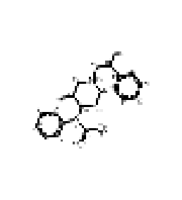 CCC(=O)N(c1ccccc1)C1CCN(CC(C)c2ccccc2)CC1C